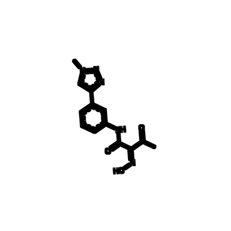 CC(=O)/C(=N/O)C(=O)Nc1cccc(-c2cn(C)nn2)c1